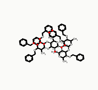 CC(=O)O[C@H]1C(O[C@@H]2OC(C)[C@H](OCc3ccccc3)C(OCc3ccccc3)[C@@H]2O[C@@H]2OC(C)[C@H](OCc3ccccc3)C(O[C@H]3OC(COCc4ccccc4)[C@@H](OCc4ccccc4)C(OCc4ccccc4)C3C)[C@@H]2C)[C@@H](OCc2ccccc2)C(C)O[C@H]1C